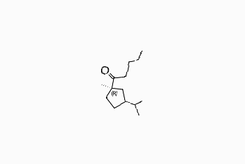 CCCCC(=O)[C@]1(C)CCC(C(C)C)C1